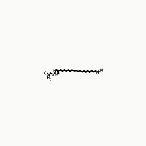 [N-]=[N+]=NCCCCCCCCCCCCCCCCCCCc1cnc(SC[SiH2]Cl)nc1